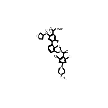 COC(=O)c1cc(F)c(-c2cccc3c2OCN(C(=O)c2c(Cl)cc(N4CCN(C)CC4)cc2Cl)C3)cc1N(C)C1CCOC1